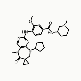 COc1cc(C(=O)NC2CCCN(C)C2)ccc1Nc1ncc2c(n1)N(C1CCCC1)CC1(CC1)C(=O)N2C